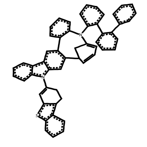 C1=CC2CC(=C1)N(c1ccccc1-c1ccccc1-c1ccccc1)c1ccccc1-c1cc3c4ccccc4n(C4=Cc5sc6ccccc6c5CC4)c3cc12